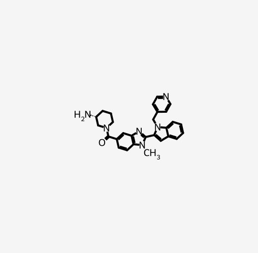 Cn1c(-c2cc3ccccc3n2Cc2ccncc2)nc2cc(C(=O)N3CCC[C@@H](N)C3)ccc21